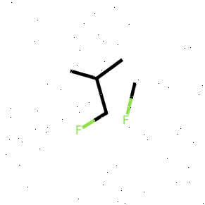 CC(C)CF.CF